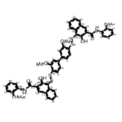 COc1cc(-c2ccc(N=Nc3c(O)c(C(=O)Nc4ccccc4OC)cc4ccccc34)c(OC)c2)ccc1N=Nc1c(O)c(C(=O)Nc2ccccc2OC)cc2ccccc12